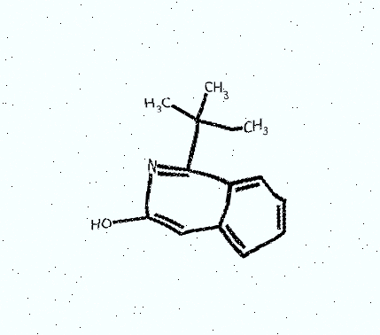 CC(C)(C)c1nc(O)cc2ccccc12